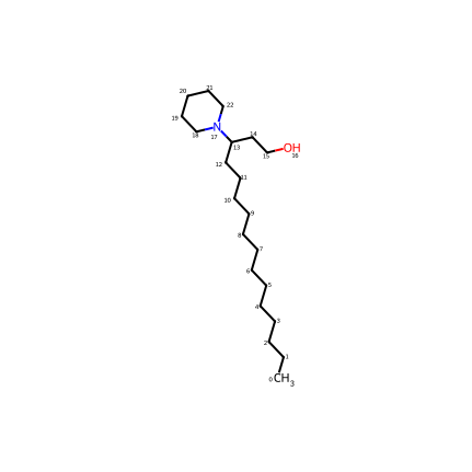 CCCCCCCCCCCCCC(CCO)N1CCCCC1